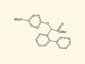 COC(=O)C(Oc1ccc(OC)cc1)c1ccccc1-c1ccccc1